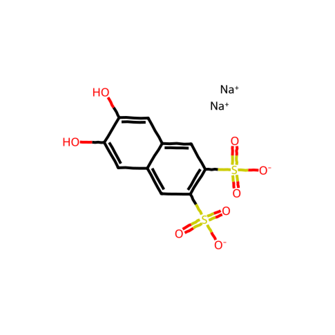 O=S(=O)([O-])c1cc2cc(O)c(O)cc2cc1S(=O)(=O)[O-].[Na+].[Na+]